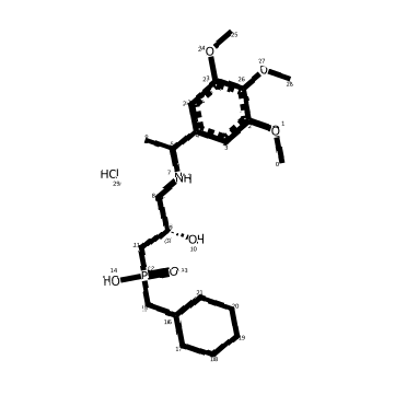 COc1cc(C(C)NC[C@H](O)CP(=O)(O)CC2CCCCC2)cc(OC)c1OC.Cl